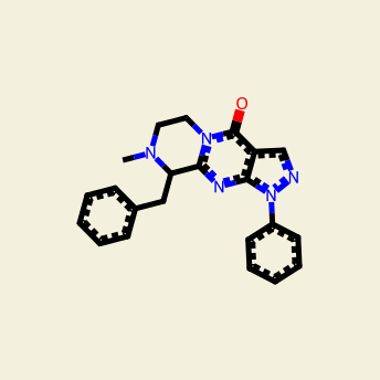 CN1CCn2c(nc3c(cnn3-c3ccccc3)c2=O)C1Cc1ccccc1